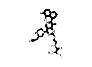 CC(C)C(=O)NCCOc1nc(N2CCNC(CC#N)C2)c2cnc(-c3cccc4ccc(F)c(Cl)c34)c(F)c2n1